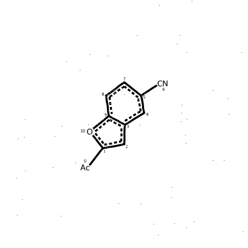 CC(=O)c1cc2cc(C#N)ccc2o1